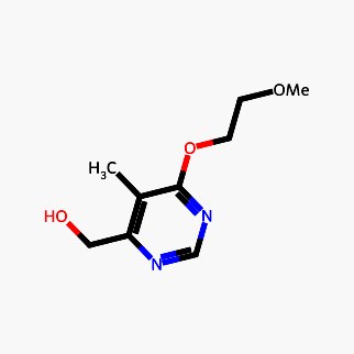 COCCOc1ncnc(CO)c1C